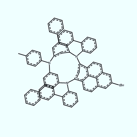 Cc1ccc(N2c3cc(-c4ccccc4)cc(c3)N(c3ccccc3-c3ccccc3)c3cc(c4ccc5cc(C(C)(C)C)cc6ccc3c4c65)N(c3ccccc3-c3ccccc3)c3cc(-c4ccccc4)cc2c3)cc1